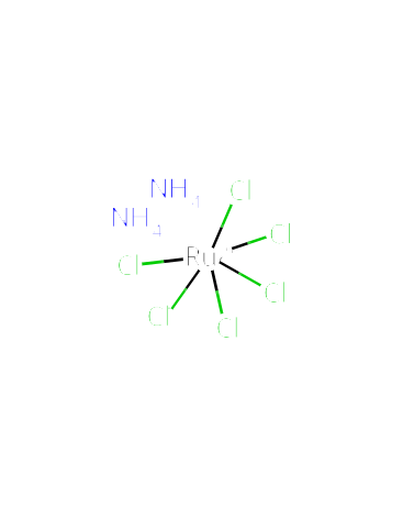 [Cl][Ru-2]([Cl])([Cl])([Cl])([Cl])[Cl].[NH4+].[NH4+]